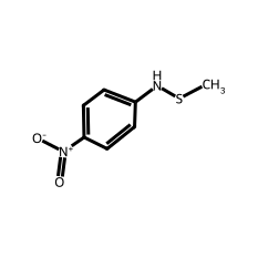 CSNc1ccc([N+](=O)[O-])cc1